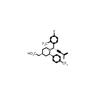 C=C(C)C#C[C@@H](c1ccc(F)cc1C(F)(F)F)N1CC[C@H](CC(=O)O)C[C@@H]1c1ccc(C(F)(F)F)cc1